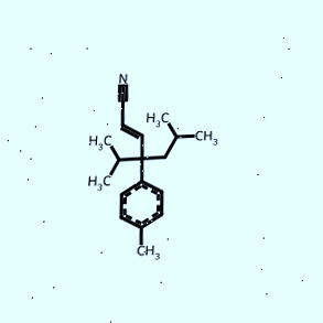 Cc1ccc(C(/C=C/C#N)(CC(C)C)C(C)C)cc1